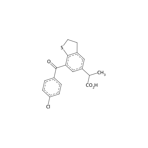 CC(C(=O)O)c1cc2c(c(C(=O)c3ccc(Cl)cc3)c1)SCC2